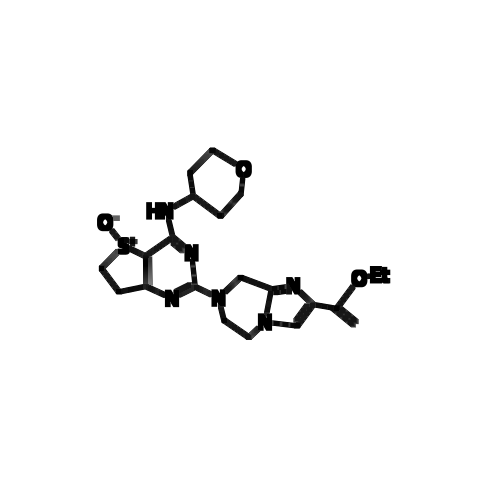 C=C(OCC)c1cn2c(n1)CN(c1nc3c(c(NC4CCOCC4)n1)[S+]([O-])CC3)CC2